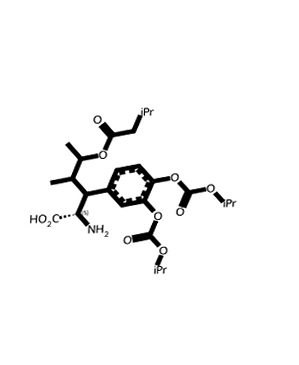 CC(C)CC(=O)OC(C)C(C)C(c1ccc(OC(=O)OC(C)C)c(OC(=O)OC(C)C)c1)[C@H](N)C(=O)O